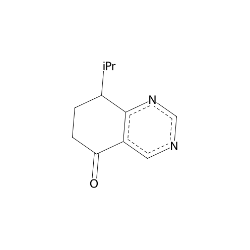 CC(C)C1CCC(=O)c2cncnc21